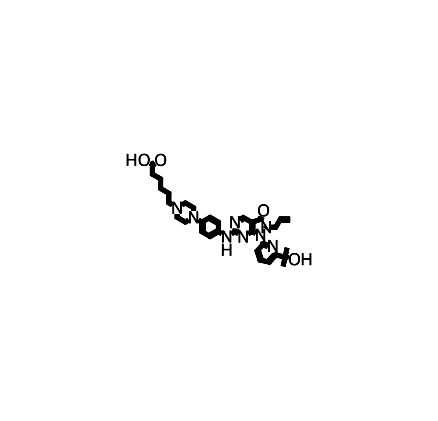 C=CCn1c(=O)c2cnc(Nc3ccc(N4CCN(CCCCCC(=O)O)CC4)cc3)nc2n1-c1cccc(C(C)(C)O)n1